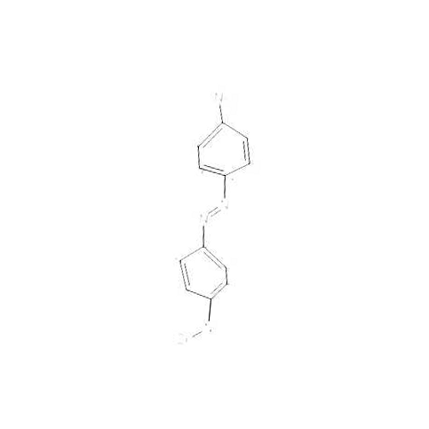 CCNc1ccc(N=Nc2ccc([N+](=O)[O-])cc2)cc1